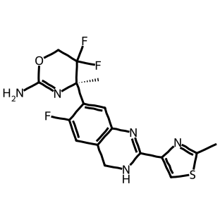 Cc1nc(C2=Nc3cc([C@@]4(C)N=C(N)OCC4(F)F)c(F)cc3CN2)cs1